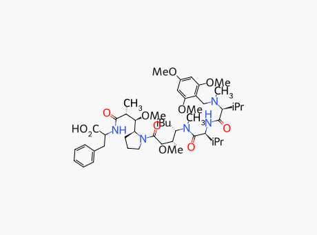 CCC(C)[C@@H]([C@@H](CC(=O)N1CCC[C@H]1[C@H](OC)[C@@H](C)C(=O)NC(Cc1ccccc1)C(=O)O)OC)N(C)C(=O)[C@@H](NC(=O)[C@H](C(C)C)N(C)Cc1c(OC)cc(OC)cc1OC)C(C)C